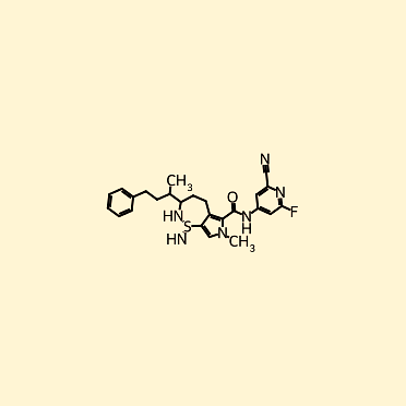 CC(CCc1ccccc1)C1CCc2c(cn(C)c2C(=O)Nc2cc(F)nc(C#N)c2)S(=N)N1